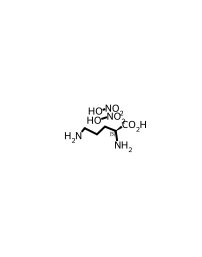 NCCC[C@H](N)C(=O)O.O=[N+]([O-])O.O=[N+]([O-])O